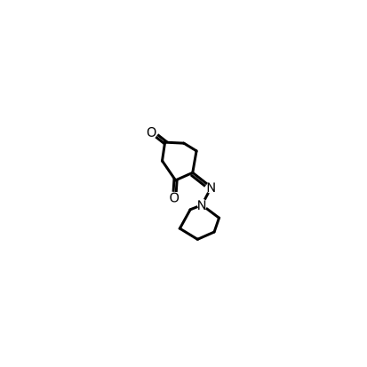 O=C1CC/C(=N/N2CCCCC2)C(=O)C1